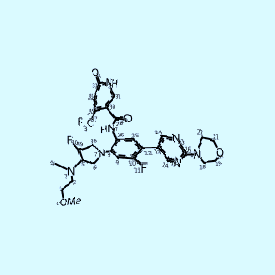 COCCN(C)C1CN(c2cc(F)c(-c3cnc(N4CCOCC4)nc3)cc2NC(=O)c2c[nH]c(=O)cc2C(F)(F)F)CC1F